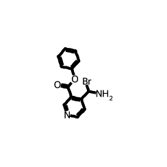 NC(Br)c1ccncc1C(=O)Oc1ccccc1